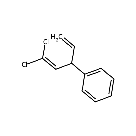 C=CC(C=C(Cl)Cl)c1ccccc1